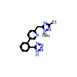 CCCCn1nc(CC)nc1Cc1ccc(-c2ccccc2-c2nnn[nH]2)cn1